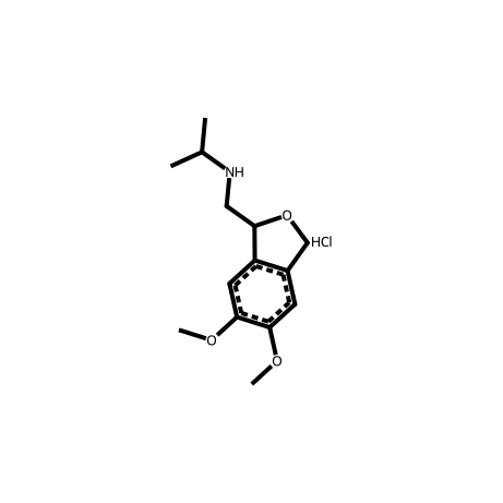 COc1cc2c(cc1OC)C(CNC(C)C)OC2.Cl